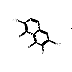 CCCc1cc2ccc(CCC)c(F)c2c(F)c1F